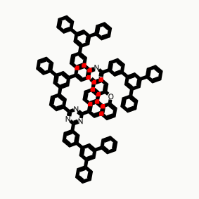 c1ccc(-c2cc(-c3ccccc3)cc(-c3cccc(-c4nc(-c5cccc(-c6cc(-c7ccccc7)cc(-c7ccccc7)c6)c5)nc(-c5cccc(-c6ccccc6Oc6ccccc6-c6cccc(-c7nc(-c8cccc(-c9cc(-c%10ccccc%10)cc(-c%10ccccc%10)c9)c8)nc(-c8cccc(-c9cc(-c%10ccccc%10)cc(-c%10ccccc%10)c9)c8)n7)c6)c5)n4)c3)c2)cc1